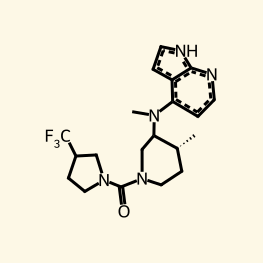 C[C@@H]1CCN(C(=O)N2CCC(C(F)(F)F)C2)CC1N(C)c1ccnc2[nH]ccc12